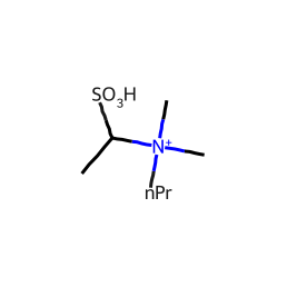 CCC[N+](C)(C)C(C)S(=O)(=O)O